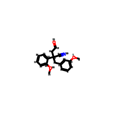 COc1cccc(CC(C#N)(CC=O)c2ccccc2OC)c1